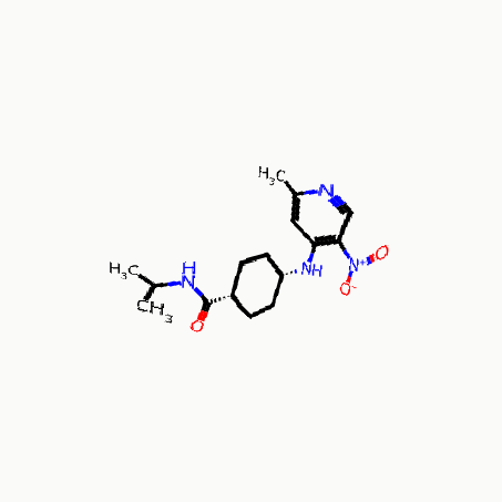 Cc1cc(N[C@H]2CC[C@@H](C(=O)NC(C)C)CC2)c([N+](=O)[O-])cn1